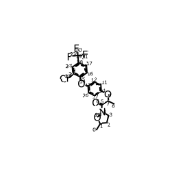 CC1CCN(C(=O)C(C)Oc2ccc(Oc3ccc(C(F)(F)F)cc3Cl)cc2)O1